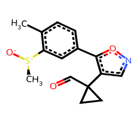 Cc1ccc(-c2oncc2C2(C=O)CC2)cc1[S@@+](C)[O-]